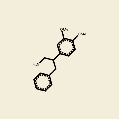 COc1ccc(C(CN)Cc2ccccc2)cc1OC